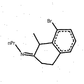 CCCN=C1CCc2cccc(Br)c2C1C